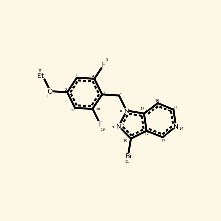 CCOc1cc(F)c(Cn2nc(Br)c3cnccc32)c(F)c1